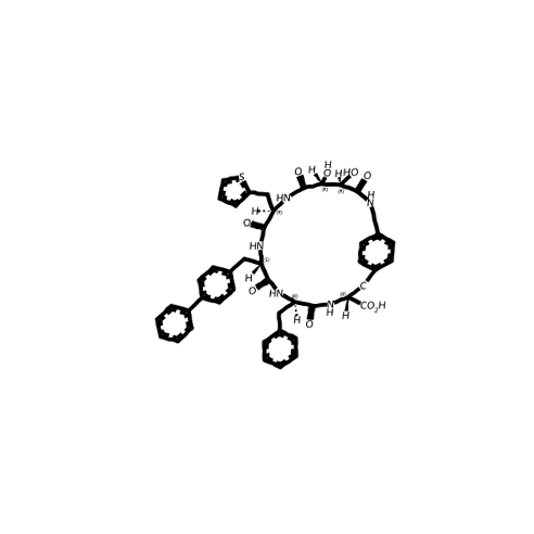 O=C1N[C@H](Cc2ccccc2)C(=O)N[C@@H](C(=O)O)Cc2ccc(cc2)NC(=O)[C@H](O)[C@@H](O)C(=O)N[C@H](Cc2cccs2)C(=O)N[C@H]1Cc1ccc(-c2ccccc2)cc1